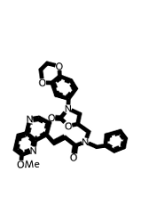 COc1ccc2nccc(C=CC(=O)N(Cc3ccccc3)CC3CN(c4ccc5c(c4)OCCO5)C(=O)O3)c2n1